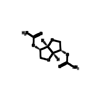 NC(=O)O[C@H]1CO[C@H]2[C@@H]1OC[C@@H]2OC(N)=O